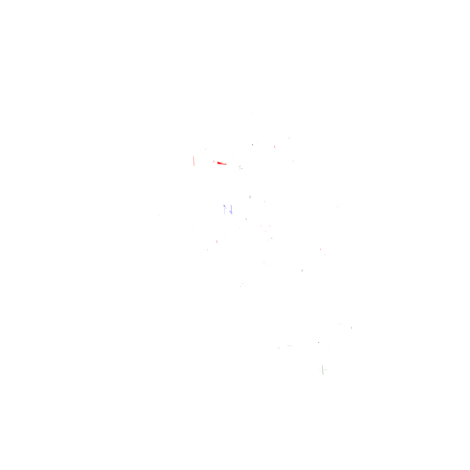 CCCN([C@H]1c2cc(OCCCC(F)(F)F)ccc2OC(C)(C)[C@@H]1O)S(=O)(=O)CC